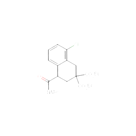 CCOC(=O)C1(C(=O)OCC)Cc2c(Cl)cccc2C(C(=O)NC)C1